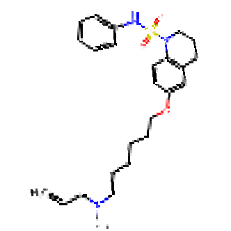 C=CCN(C)CCCCCCOc1ccc2c(c1)CCCN2S(=O)(=O)Nc1ccccc1